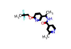 Cc1cc(C(=O)NC(C)c2ccc(OCC(C)(F)F)nc2)ccn1